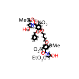 CCOC(=O)C1CC(O)CN1C(=O)c1cc(OC)c(OCCCCCOc2cc([N+](=O)[O-])c(C(=O)N3C[C@H](O)C[C@H]3C(=O)OC)cc2OCc2ccccc2)cc1[N+](=O)[O-]